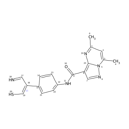 Cc1cc(C)n2ncc(C(=O)Nc3ccc(/C(C=N)=C/S)cc3)c2n1